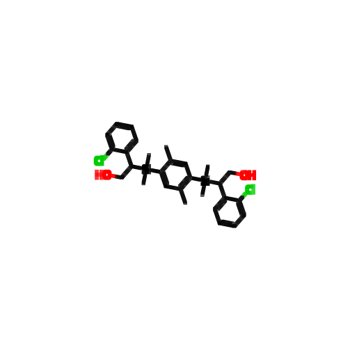 Cc1cc([Si](C)(C)C(CO)c2ccccc2Cl)c(C)cc1[Si](C)(C)C(CO)c1ccccc1Cl